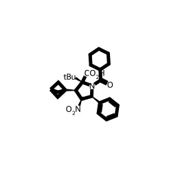 CC(C)(C)[C@]1(C(=O)O)[C@H](C23CC(C2)C3)[C@H]([N+](=O)[O-])[C@H](c2ccccc2)N1C(=O)C1CCCCC1